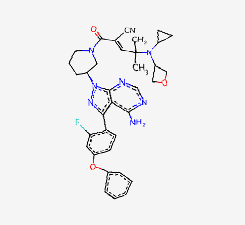 CC(C)(C=C(C#N)C(=O)N1CCC[C@H](n2nc(-c3ccc(Oc4ccccc4)cc3F)c3c(N)ncnc32)C1)N(C1CC1)C1COC1